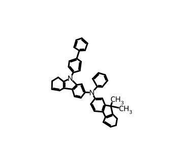 CC1(C)C2=C(C=CCC2)c2ccc(N(c3ccccc3)c3ccc4c5c(n(-c6ccc(-c7ccccc7)cc6)c4c3)CCC=C5)cc21